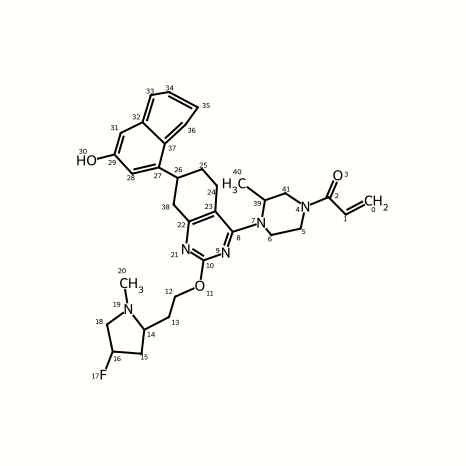 C=CC(=O)N1CCN(c2nc(OCCC3CC(F)CN3C)nc3c2CCC(c2cc(O)cc4ccccc24)C3)C(C)C1